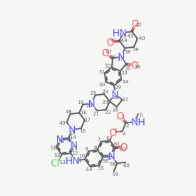 CNC(=O)COc1cc2cc(Nc3nc(N4CCC(CN5CCC6(CC5)CCN6c5ccc6c(c5)C(=O)N(C5CCC(=O)NC5=O)C6=O)CC4)ncc3Cl)ccc2n(C(C)C)c1=O